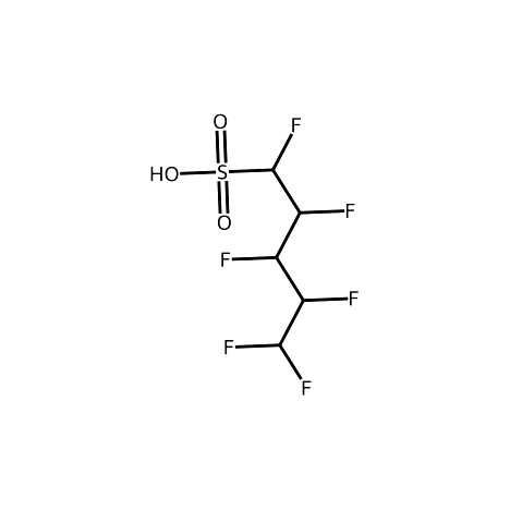 O=S(=O)(O)C(F)C(F)C(F)C(F)C(F)F